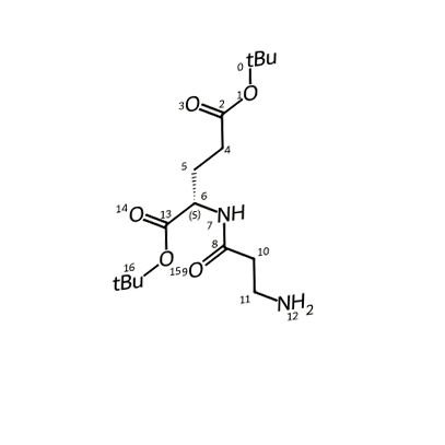 CC(C)(C)OC(=O)CC[C@H](NC(=O)CCN)C(=O)OC(C)(C)C